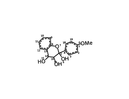 COc1ccc(C2(O)Oc3ccccc3C(O)C2O)cc1